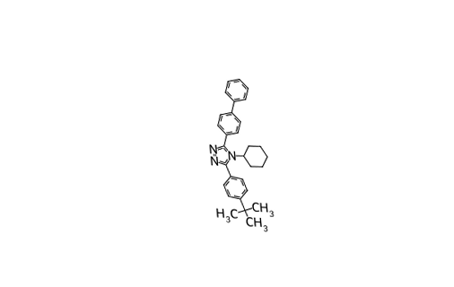 CC(C)(C)c1ccc(-c2nnc(-c3ccc(-c4ccccc4)cc3)n2C2CCCCC2)cc1